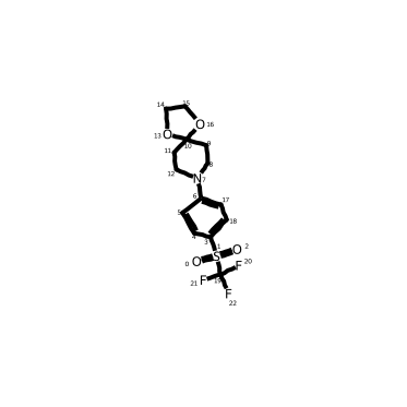 O=S(=O)(c1ccc(N2CCC3(CC2)OCCO3)cc1)C(F)(F)F